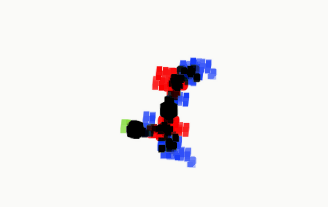 Nc1ncnc2c1ncn2[C@@H]1O[C@H](CONCc2ccc(C(=O)O[C@H]3[C@@H](O)[C@H](n4cnc5c(N)ncnc54)O[C@@H]3CONCc3ccc(F)cc3)cc2)[C@@H](O)[C@H]1O